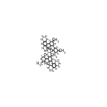 Cc1ccc(OCCCOc2ccc(C)cc2-c2cc(C)cc(-c3c4c(cc5c3CCCC5)CCCC4)c2O)c(-c2cc(C)cc(-c3c4c(cc5c3CCCC5)CCCC4)c2O)c1